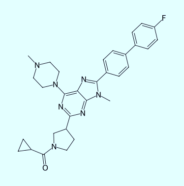 CN1CCN(c2nc(C3CCN(C(=O)C4CC4)C3)nc3c2nc(-c2ccc(-c4ccc(F)cc4)cc2)n3C)CC1